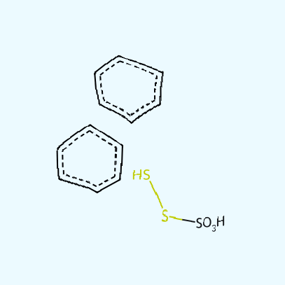 O=S(=O)(O)SS.c1ccccc1.c1ccccc1